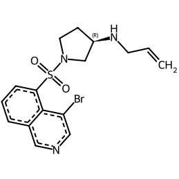 C=CCN[C@@H]1CCN(S(=O)(=O)c2cccc3cncc(Br)c23)C1